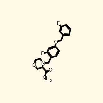 NC(=O)C1COCCN1Cc1ccc(OCc2cccc(F)c2)cc1F